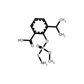 COP(=O)(Oc1c(C(=O)O)cccc1C(C)C)SN